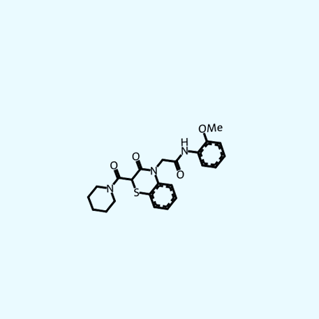 COc1ccccc1NC(=O)CN1C(=O)C(C(=O)N2CCCCC2)Sc2ccccc21